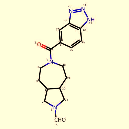 O=CN1CC2CCN(C(=O)c3ccc4[nH]nnc4c3)CCC2C1